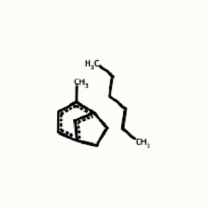 CCCCCC.Cc1ccc2cc1CC2